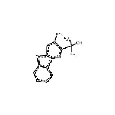 CC(C)(O)c1nc2c(cc1N)oc1ccccc12